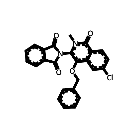 Cn1c(N2C(=O)c3ccccc3C2=O)c(OCc2ccccc2)c2cc(Cl)ccc2c1=O